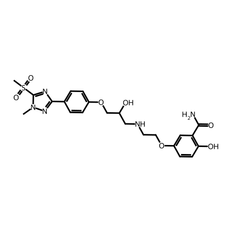 Cn1nc(-c2ccc(OCC(O)CNCCOc3ccc(O)c(C(N)=O)c3)cc2)nc1S(C)(=O)=O